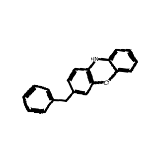 c1ccc(Cc2ccc3c(c2)Oc2ccccc2N3)cc1